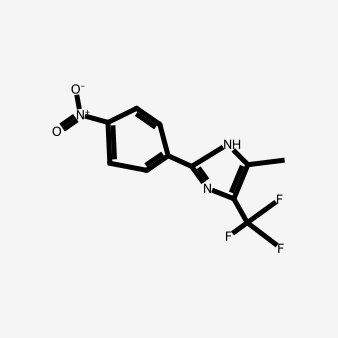 Cc1[nH]c(-c2ccc([N+](=O)[O-])cc2)nc1C(F)(F)F